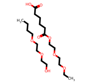 CCCCOCCOCCO.CCOCCOCCOC(=O)CCCCC(=O)O